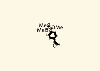 CO[Si](OC)(OC)c1ccc(C2CO2)cc1